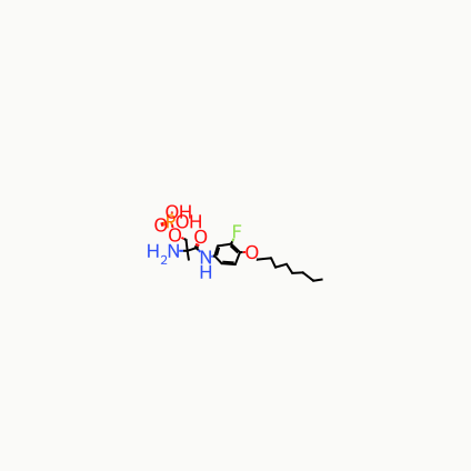 CCCCCCCCOc1ccc(NC(=O)C(C)(N)COP(=O)(O)O)cc1F